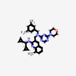 Cc1cccc2cc(CN(Cc3cc(C(F)(F)F)cc(C(F)(F)F)c3)c3ncnc(N4CCOCC4)n3)c(NC(C3CC3)C3CC3)nc12